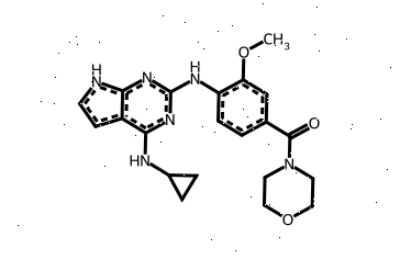 COc1cc(C(=O)N2CCOCC2)ccc1Nc1nc(NC2CC2)c2cc[nH]c2n1